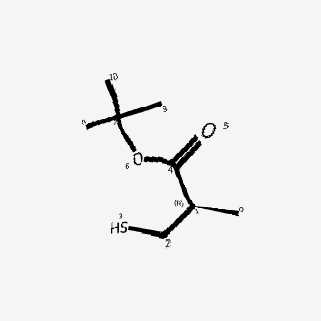 C[C@@H](CS)C(=O)OC(C)(C)C